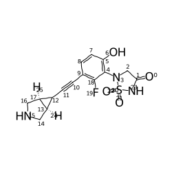 O=C1CN(c2c(O)ccc(C#CC3[C@H]4CNC[C@@H]34)c2F)S(=O)(=O)N1